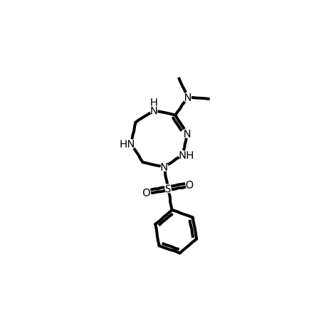 CN(C)C1=NNN(S(=O)(=O)c2ccccc2)CNCN1